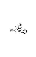 CC(C)(C)OC(=O)C1CN(Cc2ccccc2)C(=O)C1=NO